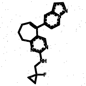 FC1(CNc2ncc3c(n2)CCCC=C3c2ccn3nccc3c2)CC1